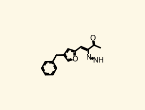 CC(=O)/C(=C/c1cc(Cc2ccccc2)co1)N=N